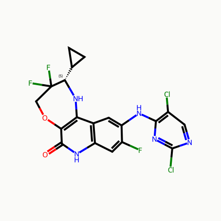 O=c1[nH]c2cc(F)c(Nc3nc(Cl)ncc3Cl)cc2c2c1OCC(F)(F)[C@H](C1CC1)N2